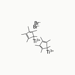 CC1=C(C)[C](C)([Ti+3])C(C)=C1C.CC1=C(C)[C](C)([Ti+3])C(C)=C1C.[Br-].[Br-]